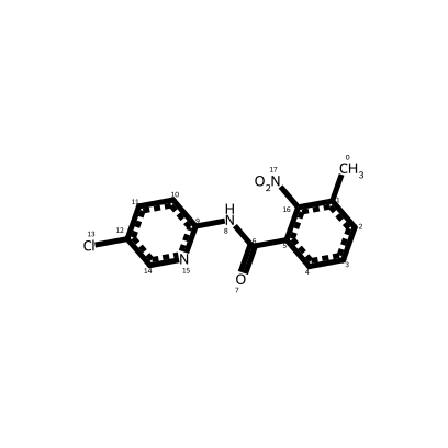 Cc1cccc(C(=O)Nc2ccc(Cl)cn2)c1[N+](=O)[O-]